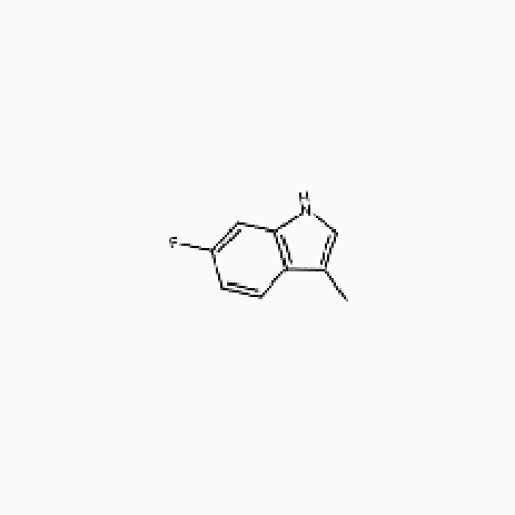 Cc1c[nH]c2cc(F)ccc12